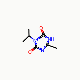 Cc1nc(=O)n(C(C)C)c(=O)[nH]1